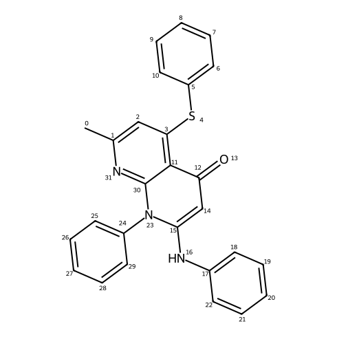 Cc1cc(Sc2ccccc2)c2c(=O)cc(Nc3ccccc3)n(-c3ccccc3)c2n1